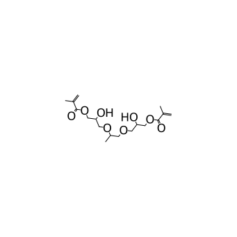 C=C(C)C(=O)OCC(O)COCC(C)OCC(O)COC(=O)C(=C)C